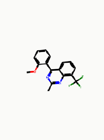 COc1ccccc1-c1nc(C)nc2c(C(F)(F)F)cccc12